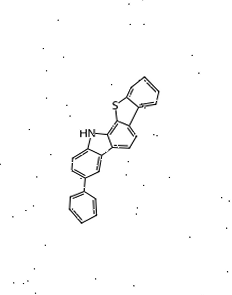 c1ccc(-c2ccc3[nH]c4c(ccc5c6ccccc6sc54)c3c2)cc1